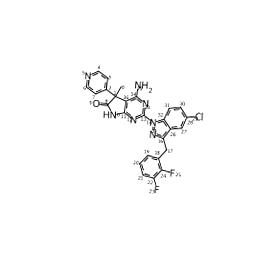 CC1(c2ccncc2)C(=O)Nc2nc(-n3nc(Cc4cccc(F)c4F)c4cc(Cl)ccc43)nc(N)c21